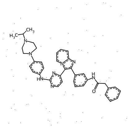 CC(C)N1CCN(c2ccc(Nc3nccc(-c4c(-c5cccc(NC(=O)Cc6ccccc6)c5)nc5ccccn45)n3)cc2)CC1